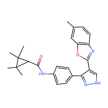 Cc1ccc2nc(-c3c[nH]nc3-c3ccc(NC(=O)C4C(C)(C)C4(C)C)cc3)oc2c1